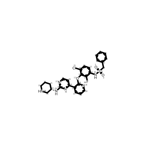 O=S(=O)(Cc1ccccc1)Nc1ccc(Cl)c(Oc2ncccc2-c2ccnc(N[C@H]3CCCNC3)n2)c1F